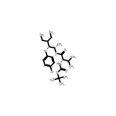 CCC(CC)[C@@H](Oc1ccc(Cl)cc1)[C@H](C)OC(=O)[C@@H](NC(=O)OC(C)(C)C)C(C)C